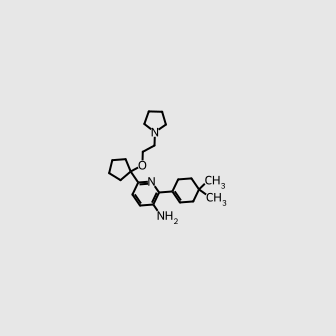 CC1(C)CC=C(c2nc(C3(OCCN4CCCC4)CCCC3)ccc2N)CC1